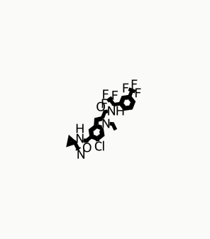 CCn1c(C(=O)NC(c2cccc(C(F)(F)F)c2)C(F)(F)F)cc2cc(C(=O)NC3(C#N)CC3)c(Cl)cc21